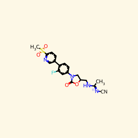 C/C(=N\C#N)NCC1CN(c2ccc(-c3ccc(S(C)(=O)=O)nc3)c(F)c2)C(=O)O1